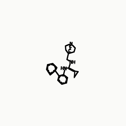 c1ccc(-c2ccccc2NC(NCC23CCN(CC2)CC3)=C2CC2)cc1